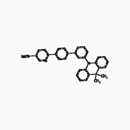 CC1(C)c2ccccc2N(c2cccc(-c3ccc(-c4ccc(C#N)cn4)cc3)c2)c2ccccc21